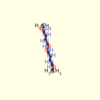 CN(C)CCNC(=O)c1ccc(-c2nc3cc(-c4ccc5[nH]c(-c6ccc(C(=O)NCCNC(=O)c7ccc(-c8nc9cc(-c%10ccc%11[nH]c(-c%12ccc(C(=O)NCCN(C)C)cc%12)nc%11c%10)ccc9[nH]8)cc7)cc6)nc5c4)ccc3[nH]2)cc1